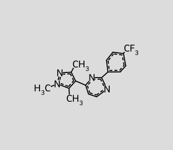 Cc1nn(C)c(C)c1-c1ccnc(-c2ccc(C(F)(F)F)cc2)n1